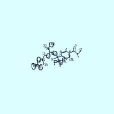 CCC(C)c1ccc(C(C)(OC(OCC2COC(=O)O2)C(C)=O)C(F)(F)F)cc1